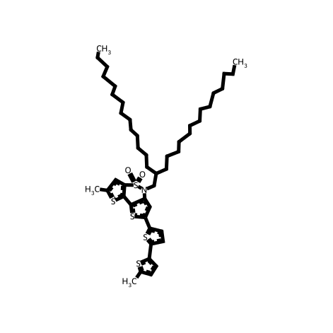 CCCCCCCCCCCCCCC(CCCCCCCCCCCCCC)CN1c2cc(-c3ccc(-c4ccc(C)s4)s3)sc2-c2sc(C)cc2S1(=O)=O